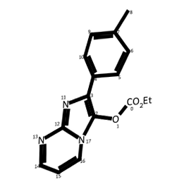 CCOC(=O)Oc1c(-c2ccc(C)cc2)nc2ncccn12